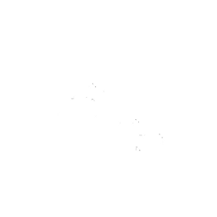 CC(C)(C)OC(=O)[C@H](N)CCCNC(=N)N